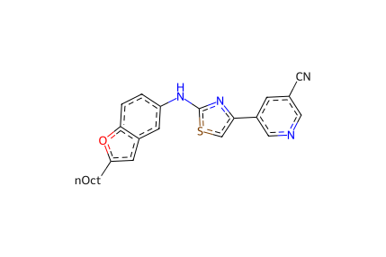 CCCCCCCCc1cc2cc(Nc3nc(-c4cncc(C#N)c4)cs3)ccc2o1